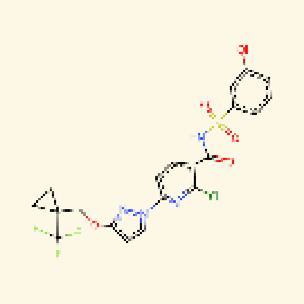 O=C(NS(=O)(=O)c1cccc(O)c1)c1ccc(-n2ccc(OCC3(C(F)(F)F)CC3)n2)nc1Cl